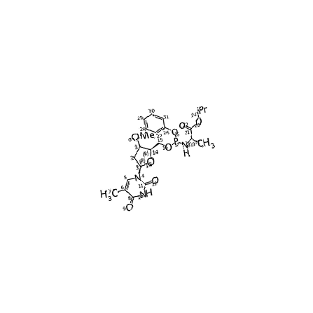 COC1C[C@H](n2cc(C)c(=O)[nH]c2=O)O[C@@H]1COP(NC(C)C(=O)OC(C)C)Oc1ccccc1